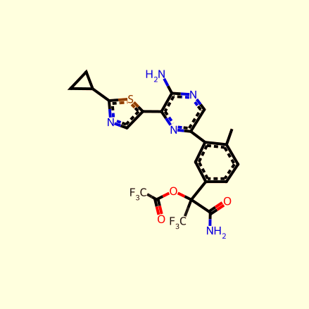 Cc1ccc(C(OC(=O)C(F)(F)F)(C(N)=O)C(F)(F)F)cc1-c1cnc(N)c(-c2cnc(C3CC3)s2)n1